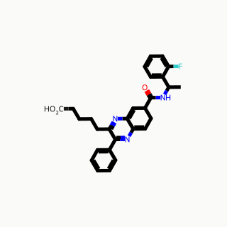 CC(NC(=O)C1C=c2nc(CCCCC(=O)O)c(-c3ccccc3)nc2=CC1)c1ccccc1F